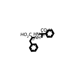 C[C@](NN[C@@H](Cc1ccccc1)C(=O)O)(C(=O)O)c1ccccc1